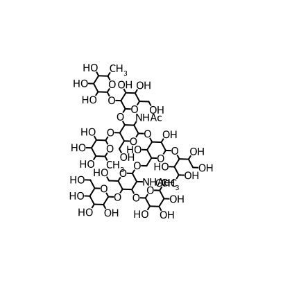 CC(=O)NC1C(OCC2OC(OC(C(O)CO)C(O)C(O)C=O)C(O)C(OC3OC(CO)C(OC4OC(C)C(O)C(O)C4O)C(OC4OC(CO)C(O)C(O)C4OC4OC(C)C(O)C(O)C4O)C3NC(C)=O)C2O)OC(CO)C(OC2OC(CO)C(O)C(O)C2O)C1OC1OC(C)C(O)C(O)C1O